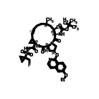 CCOc1ccc2c(O[C@@H]3C[C@H]4C(=O)N[C@]5(C(=O)NS(=O)(=O)C6(CF)CC6)CC5/C=C\CC[C@@H](C)C[C@@H](C)[C@H](NC(=O)OC(C)(C)C(F)(F)F)C(=O)N4C3)nccc2c1